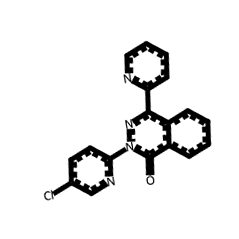 O=c1c2ccccc2c(-c2ccccn2)nn1-c1ccc(Cl)cn1